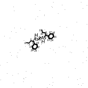 CCCC([AsH]CC[AsH]C(CCC)c1ccccc1)c1ccccc1